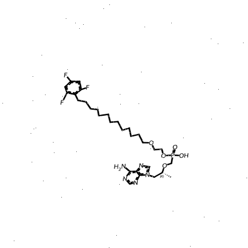 C[C@H](Cn1cnc2c(N)ncnc21)OCP(=O)(O)OCCOCCCCCCCCCCCCCc1c(F)cc(F)cc1F